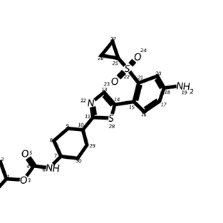 CC(C)OC(=O)NC1CCC(c2ncc(-c3ccc(N)cc3S(=O)(=O)C3CC3)s2)CC1